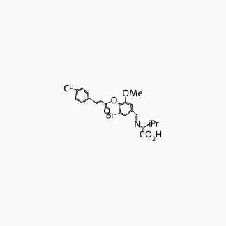 COc1cc(/C=N/C(C(=O)O)C(C)C)cc(Br)c1OC(=O)/C=C/c1ccc(Cl)cc1